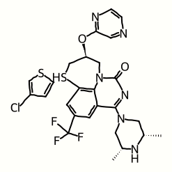 C[C@@H]1CN(c2nc(=O)n3c4c(cc(C(F)(F)F)cc24)[SH](c2cc(Cl)cs2)C[C@@H](Oc2cnccn2)C3)C[C@H](C)N1